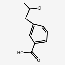 CC(Cl)Sc1cccc(C(=O)O)c1